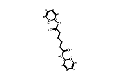 O=C(CCCCC(=O)OC1C=CC=CO1)OC1C=CC=CO1